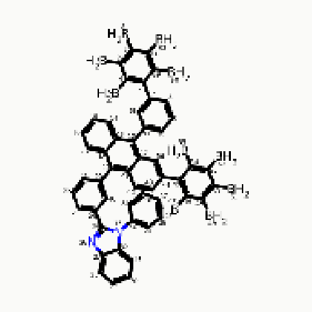 Bc1c(B)c(B)c(-c2cccc(-c3c4ccccc4c(-c4cccc(-c5nc6ccccc6n5-c5ccccc5)c4)c4ccc(-c5c(B)c(B)c(B)c(B)c5B)cc34)c2)c(B)c1B